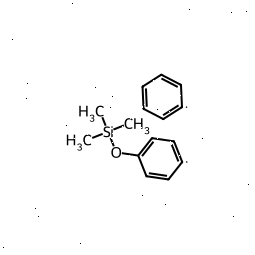 C[Si](C)(C)Oc1cc[c]cc1.[c]1ccccc1